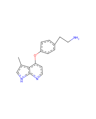 Cc1c[nH]c2nccc(Oc3ccc(CCN)cc3)c12